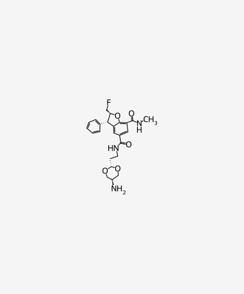 CNC(=O)c1cc(C(=O)NCC[C@H]2OC[C@H](N)CO2)cc2c1O[C@H](CF)[C@H]2c1ccccc1